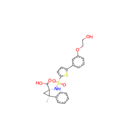 C[C@]1(c2ccccc2)C[C@@]1(NS(=O)(=O)c1ccc(-c2cccc(OCCO)c2)s1)C(=O)O